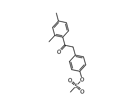 Cc1ccc(C(=O)Cc2ccc(OS(C)(=O)=O)cc2)c(C)c1